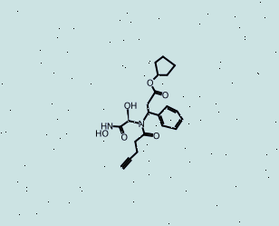 C#CCCC(=O)N(C(CC(=O)OC1CCCC1)c1ccccc1)[C@H](O)C(=O)NO